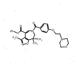 CC(C)OC(=O)C1=CN(C(=O)c2ccc(OCCN3CCOCC3)cc2)CC(C)(C)c2onc(C(F)(F)F)c21